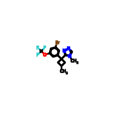 CC1CC(c2cc(Br)cc(OC(F)(F)F)c2)(c2nncn2C)C1